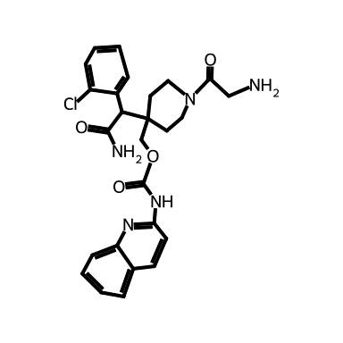 NCC(=O)N1CCC(COC(=O)Nc2ccc3ccccc3n2)(C(C(N)=O)c2ccccc2Cl)CC1